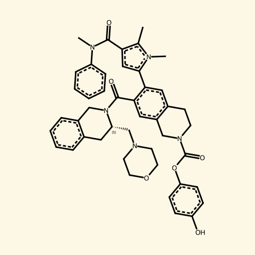 Cc1c(C(=O)N(C)c2ccccc2)cc(-c2cc3c(cc2C(=O)N2Cc4ccccc4C[C@H]2CN2CCOCC2)CN(C(=O)Oc2ccc(O)cc2)CC3)n1C